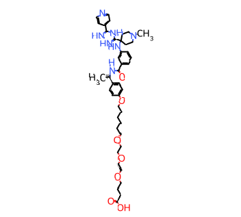 C[C@@H](NC(=O)c1cccc(NC2(C(=N)NC(=N)c3ccncc3)CCN(C)CC2)c1)c1ccc(OCCCCCCOCCOCCOCCCC(=O)O)cc1